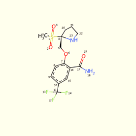 CS(=O)(=O)[C@]1(COc2ccc(C(F)(F)F)cc2C(N)=O)CCCN1